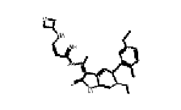 CCc1ccc(C)c(C2C=C3C(=CC2CC)NC(=O)/C3=C(/C)NC(=N)/C=C\NC2COC2)c1